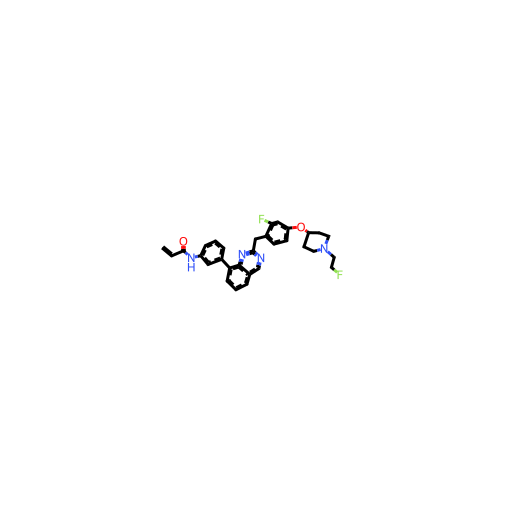 C=CC(=O)Nc1cccc(-c2cccc3cnc(Cc4ccc(OC5CCN(CCF)CC5)cc4F)nc23)c1